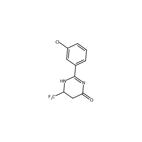 O=C1CC(C(F)(F)F)NC(c2cccc(Cl)c2)=N1